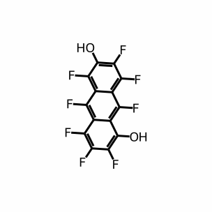 Oc1c(F)c(F)c2c(F)c3c(O)c(F)c(F)c(F)c3c(F)c2c1F